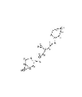 OC(COCC1CCC2OC2C1)COCC1CCC2OC2C1